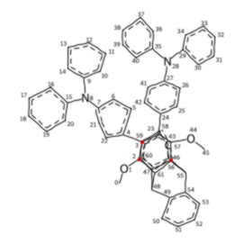 COc1c(-c2ccc(N(c3ccccc3)c3ccccc3)cc2)c(-c2ccc(N(c3ccccc3)c3ccccc3)cc2)c(OC)c2c1C1c3ccccc3C2c2ccccc21